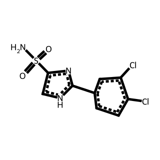 NS(=O)(=O)c1c[nH]c(-c2ccc(Cl)c(Cl)c2)n1